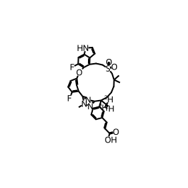 [2H]C([2H])([2H])C1(c2cccc(/C=C/C(=O)O)c2)CCCC(C)(C)CS(=O)(=O)CCc2c(c(F)cc3[nH]ccc23)Oc2ccc(F)c(c2)-c2nc1nn2C